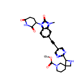 Cn1c(=O)n(C2CCC(=O)NC2=O)c2ccc(C#Cc3cnc(C4NCC45CCCN(C(=O)OC(C)(C)C)C5)nc3)cc21